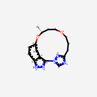 C[C@@H]1CCOCCCc2ncn(n2)-c2n[nH]c3ccc(cc23)O1